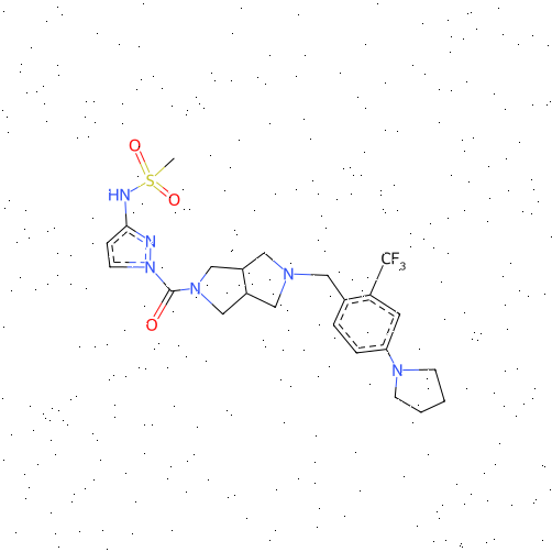 CS(=O)(=O)Nc1ccn(C(=O)N2CC3CN(Cc4ccc(N5CCCC5)cc4C(F)(F)F)CC3C2)n1